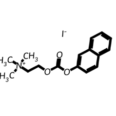 C[N+](C)(C)CCOC(=O)Oc1ccc2ccccc2c1.[I-]